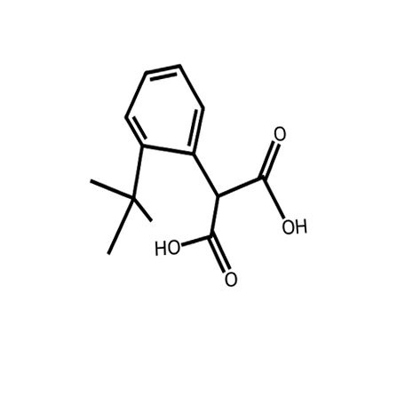 CC(C)(C)c1ccccc1C(C(=O)O)C(=O)O